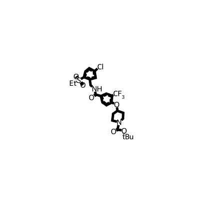 CCS(=O)(=O)c1ccc(Cl)cc1CNC(=O)c1ccc(OC2CCN(C(=O)OC(C)(C)C)CC2)c(C(F)(F)F)c1